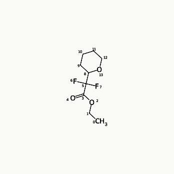 CCOC(=O)C(F)(F)C1CCCCO1